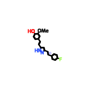 COc1cc(C=Cc2cc(/C=C/c3ccc(F)cc3)n[nH]2)ccc1O